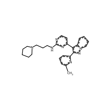 Cc1cccc(-c2nn3ccccc3c2-c2ccnc(NCCCN3CCCCC3)n2)n1